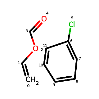 C=COC=O.Clc1ccccc1